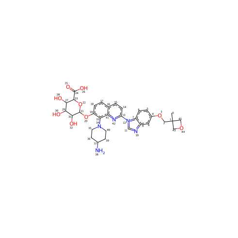 CC1(COc2ccc3c(c2)ncn3-c2ccc3ccc(OC4OC(C(=O)O)C(O)C(O)C4O)c(N4CCC(N)CC4)c3n2)COC1